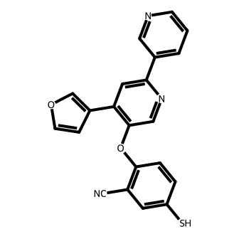 N#Cc1cc(S)ccc1Oc1cnc(-c2cccnc2)cc1-c1ccoc1